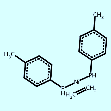 C=C.Cc1ccc([PH][Ni][PH]c2ccc(C)cc2)cc1